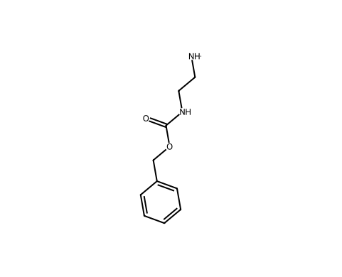 [NH]CCNC(=O)OCc1ccccc1